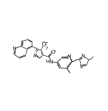 Cc1cc(NC(=O)c2cnn(-c3cccc4ncccc34)c2C(F)(F)F)cnc1C1=NC(C)C=N1